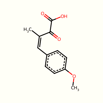 COc1ccc(C=C(C)C(=O)C(=O)O)cc1